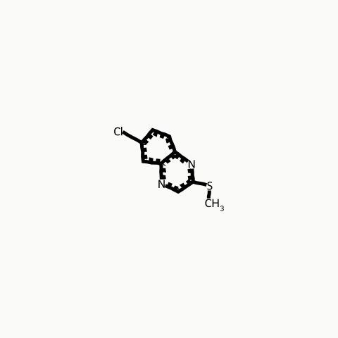 CSc1cnc2cc(Cl)ccc2n1